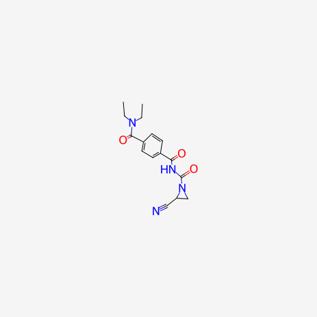 CCN(CC)C(=O)c1ccc(C(=O)NC(=O)N2CC2C#N)cc1